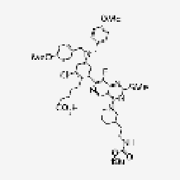 COc1ccc(CN(Cc2ccc(OC)cc2)c2cc(Cl)c(CCCCC(=O)O)c(-c3ncc4c(N5CCCC(CCNC(=O)OC(C)(C)C)C5)nc(SC)nc4c3F)c2)cc1